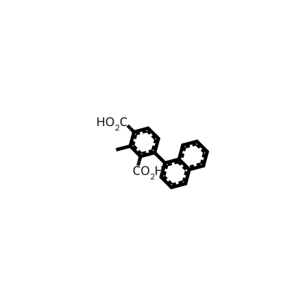 Cc1c(C(=O)O)ccc(-c2cccc3ccccc23)c1C(=O)O